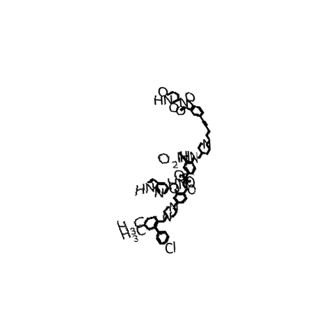 CC1(C)CCC(CN2CCN(c3ccc(C(=O)NS(=O)(=O)c4ccc(NCC5CCN(CCCC#Cc6ccc7c(c6)C(=O)N(C6CCC(=O)NC6=O)C7=O)CC5)c([N+](=O)[O-])c4)c(Oc4cnc5[nH]ccc5c4)c3)CC2)=C(c2ccc(Cl)cc2)C1